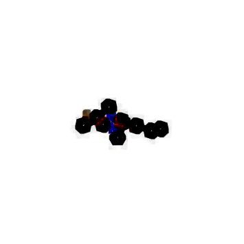 c1ccc(N(c2ccc(-c3ccc(-c4ccc5ccccc5c4)cc3)cc2)c2ccccc2-n2c3ccccc3c3ccccc32)c(-c2ccc3c(c2)sc2ccccc23)c1